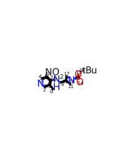 Cc1cncc([N+](=O)[O-])c1NCC1CN(C(=O)OC(C)(C)C)C1